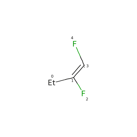 CC/C(F)=[C]\F